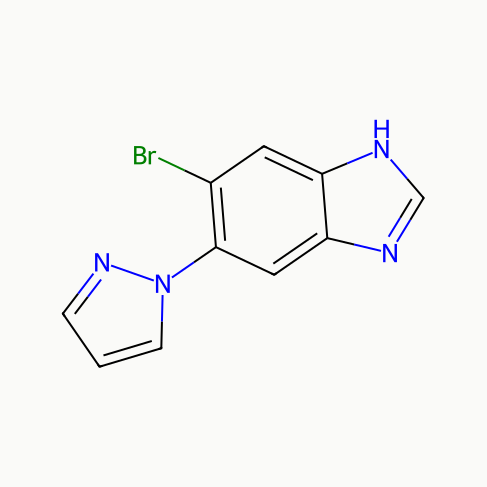 Brc1cc2[nH]cnc2cc1-n1cccn1